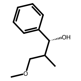 COCC(C)[C@@H](O)c1ccccc1